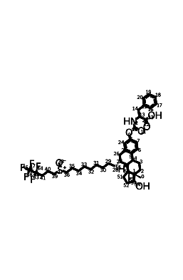 C[C@]12CCC3c4ccc(OC(=O)NC(Cc5ccccc5)C(=O)O)cc4C[C@@H](CCCCCCCCC[S+]([O-])CCCC(F)(F)C(F)(F)F)[C@H]3[C@@H]1CC[C@@H]2O